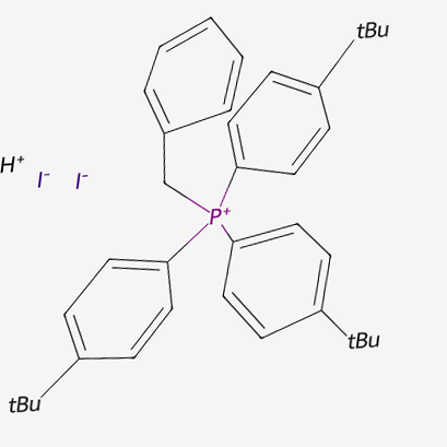 CC(C)(C)c1ccc([P+](Cc2ccccc2)(c2ccc(C(C)(C)C)cc2)c2ccc(C(C)(C)C)cc2)cc1.[H+].[I-].[I-]